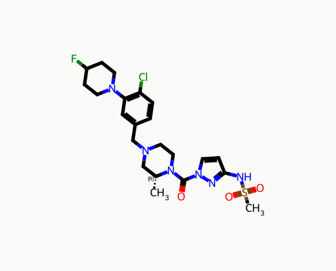 C[C@@H]1CN(Cc2ccc(Cl)c(N3CCC(F)CC3)c2)CCN1C(=O)n1ccc(NS(C)(=O)=O)n1